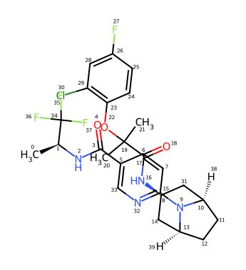 C[C@H](NC(=O)c1ccc(N2[C@@H]3CC[C@H]2C[C@@H](NC(=O)C(C)(C)Oc2ccc(F)cc2Cl)C3)nc1)C(F)(F)F